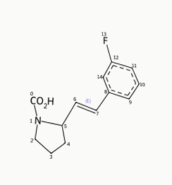 O=C(O)N1CCCC1/C=C/c1cccc(F)c1